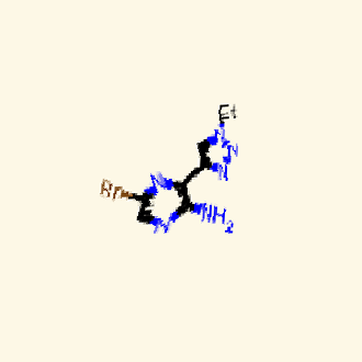 CCn1cc(-c2nc(Br)cnc2N)nn1